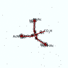 CC(=O)N[C@H]1[C@H]2OC[C@](COCCOCCOCCOCCn3cc(COCC(COCc4cn(CCOCCOCCOCCOC[C@@]56CO[C@@H](O5)[C@H](NC(C)=O)[C@@H](O)[C@H]6O)nn4)(COCc4cn(CCOCCOCCOCCOC[C@@]56CO[C@@H](O5)[C@H](NC(C)=O)[C@@H](O)[C@H]6O)nn4)NC(=O)CCCCCNC(=O)CCCCCC(=O)O)nn3)(O2)[C@H](O)[C@@H]1O